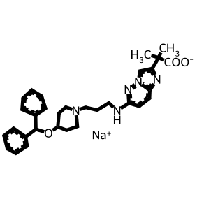 CC(C)(C(=O)[O-])c1cn2nc(NCCCN3CCC(OC(c4ccccc4)c4ccccc4)CC3)ccc2n1.[Na+]